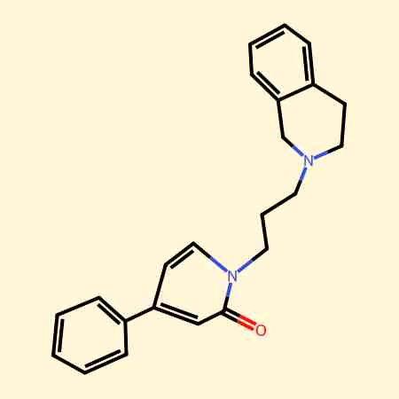 O=c1cc(-c2ccccc2)ccn1CCCN1CCc2ccccc2C1